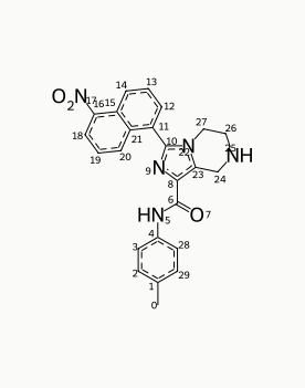 Cc1ccc(NC(=O)c2nc(-c3cccc4c([N+](=O)[O-])cccc34)n3c2CNCC3)cc1